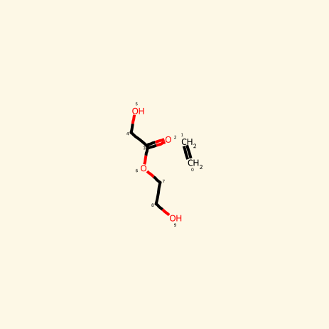 C=C.O=C(CO)OCCO